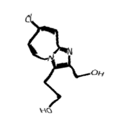 OCCc1c(CO)nc2cc(Cl)ccn12